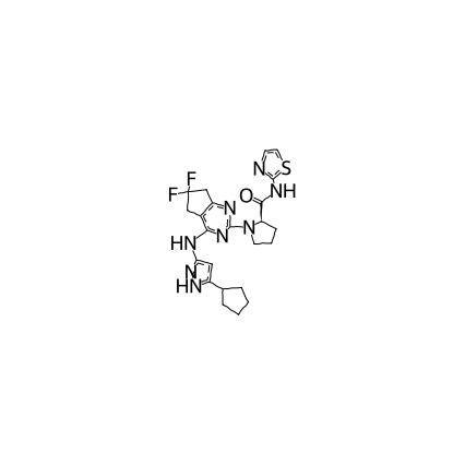 O=C(Nc1nccs1)[C@H]1CCCN1c1nc2c(c(Nc3cc(C4CCCC4)[nH]n3)n1)CC(F)(F)C2